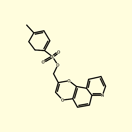 CC1=CC=C(S(=O)(=O)OCC2=COc3ccc4ncccc4c3O2)CC1